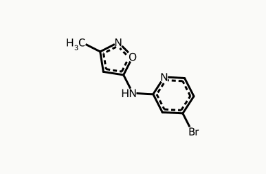 Cc1cc(Nc2cc(Br)ccn2)on1